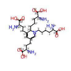 NC(CCCCN1C=C(CCC(N)C(=O)O)C=C(CCC(N)C(=O)O)C1CCCC(N)C(=O)O)C(=O)O